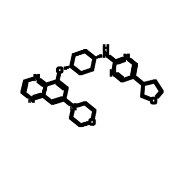 c1cnc2c(O[C@H]3CC[C@@H](Nc4ncc(C5CCOC5)cn4)CC3)cc(N3CCOCC3)cc2n1